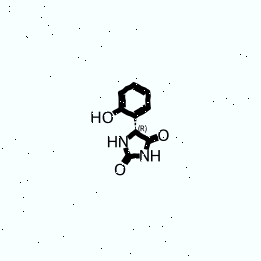 O=C1NC(=O)[C@@H](c2ccccc2O)N1